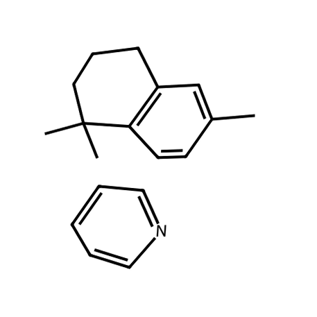 Cc1ccc2c(c1)CCCC2(C)C.c1ccncc1